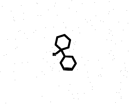 CCC1(C2CC=CCC2)CCCCC1